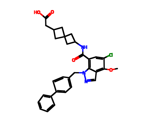 COc1c(Cl)cc(C(=O)NC2CC3(CC(CC(=O)O)C3)C2)c2c1cnn2Cc1ccc(-c2ccccc2)cc1